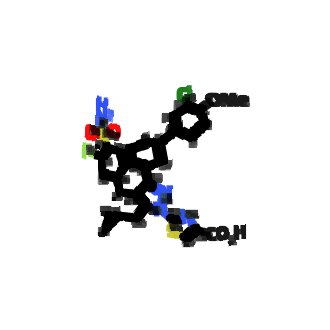 COc1ccc(-c2cccc(-c3nn(-c4nc(C(=O)O)cs4)c(CC4CC4)c3Cc3ccc(S(N)(=O)=O)c(F)c3)c2)cc1Cl